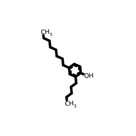 CCCCCCCCc1ccc(O)c(CCCCC)c1